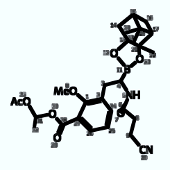 COc1c(CC(NC(=O)CCC#N)B2OC3CC4CC(C4(C)C)C3(C)O2)cccc1C(=O)OC(C)OC(C)=O